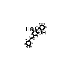 Oc1cc(C=Cc2ccccc2)cc(O)c1Oc1ccccc1